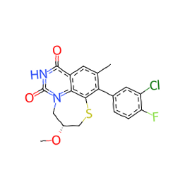 CO[C@H]1CSc2c(-c3ccc(F)c(Cl)c3)c(C)cc3c(=O)[nH]c(=O)n(c23)C1